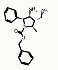 C[C@@H]1[C@@H](CO)[C@H](N)[C@H](c2ccccc2)N1C(=O)OCc1ccccc1